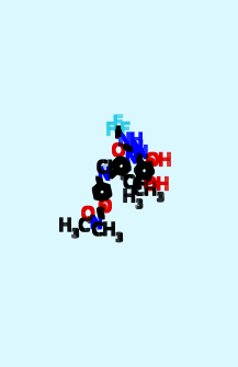 CC(=O)N(C)CCOc1ccc(CN(C)Cc2ccc(-n3c(C(=O)NCC(F)(F)F)nnc3-c3cc(C(C)C)c(O)cc3O)cc2)cc1